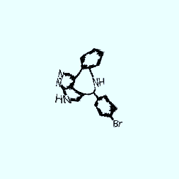 Brc1ccc(C2Nc3ccccc3-c3cnnc4[nH]cc2c34)cc1